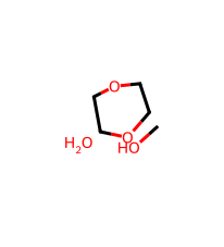 C1COCCO1.CO.O